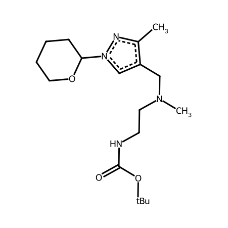 Cc1nn(C2CCCCO2)cc1CN(C)CCNC(=O)OC(C)(C)C